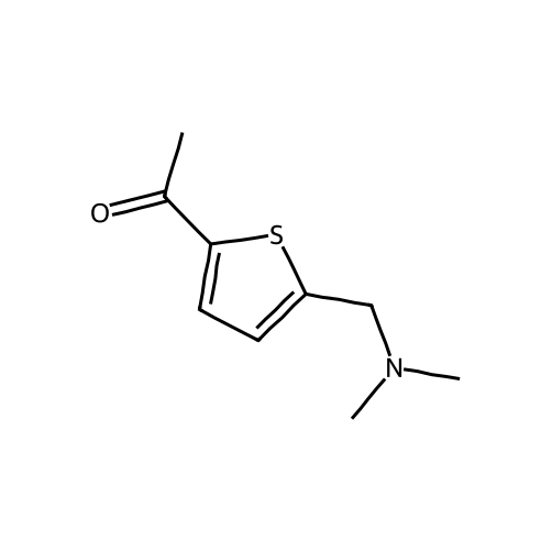 CC(=O)c1ccc(CN(C)C)s1